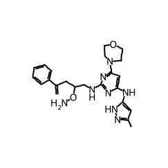 C=C(CC(CNc1nc(Nc2cc(C)n[nH]2)cc(N2CCOCC2)n1)ON)c1ccccc1